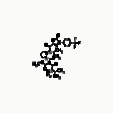 COC(=O)N(C(=O)[C@@H](N)C(C)C)C(=O)[C@@H]1CCCN1[C@H](C(=O)c1nn(-c2ccc(C(F)(F)F)cc2)c(=O)o1)C(C)C